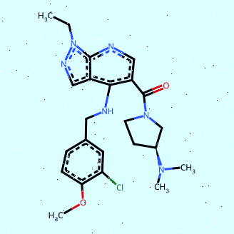 CCn1ncc2c(NCc3ccc(OC)c(Cl)c3)c(C(=O)N3CC[C@H](N(C)C)C3)cnc21